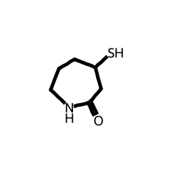 O=C1CC(S)CCCN1